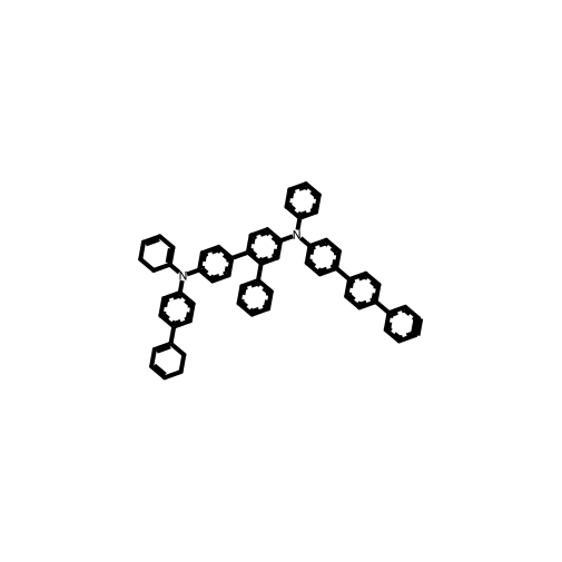 c1ccc(-c2ccc(-c3ccc(N(c4ccccc4)c4ccc(-c5ccc(N(C6=CC=CCC6)c6ccc(C7=CC=CCC7)cc6)cc5)c(-c5ccccc5)c4)cc3)cc2)cc#1